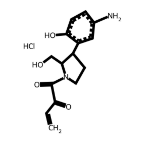 C=CC(=O)C(=O)N1CCC(c2cc(N)ccc2O)C1CO.Cl